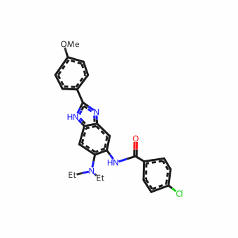 CCN(CC)c1cc2[nH]c(-c3ccc(OC)cc3)nc2cc1NC(=O)c1ccc(Cl)cc1